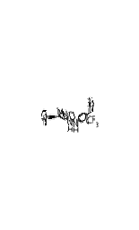 CN1CCN(Cc2ccc(NC(=O)Nc3cc(C#Cc4ccccn4)n(C)n3)cc2C(F)(F)F)CC1